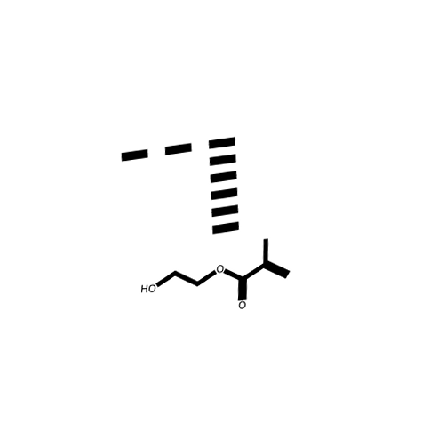 C=C.C=C.C=C.C=C.C=C.C=C.C=C.C=C.C=C(C)C(=O)OCCO